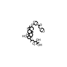 COC(C[C@@H](C)C1C[C@H](O)[C@@]2(C)[C@@H]3CC[C@H]4C(C)(C)[C@@H](OC5CN(C(=O)CN6CCOCC6)CCO5)CC[C@@]45CC35CC[C@]12C)[C@H](O)C(C)(C)O